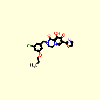 CCCOc1cc(Cl)cc(CN2CCn3cc(-c4nccs4)c(=O)c(O)c3C2=O)c1